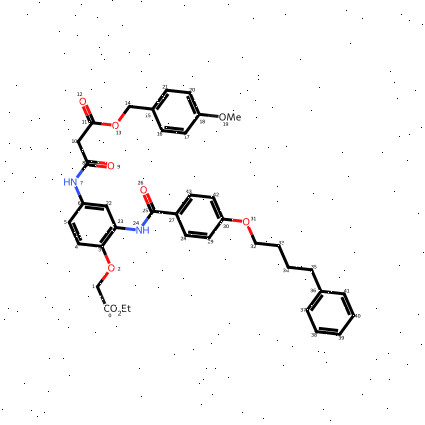 CCOC(=O)COc1ccc(NC(=O)CC(=O)OCc2ccc(OC)cc2)cc1NC(=O)c1ccc(OCCCCc2ccccc2)cc1